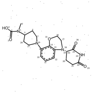 CN(C(=O)O)C1CCN(c2cccc3c2OCCN3[C@H]2CCC(=O)NC2=O)CC1